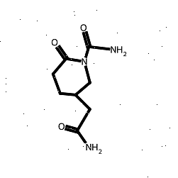 NC(=O)CC1CCC(=O)N(C(N)=O)C1